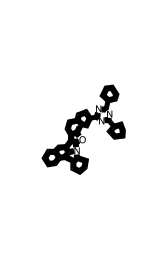 c1ccc(-c2nc(-c3ccccc3)nc(-c3ccc4ccc5c(oc6c5c5cc7ccccc7c7c8ccccc8n6c57)c4c3)n2)cc1